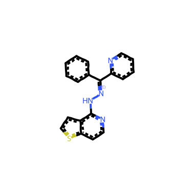 c1ccc(/C(=N\Nc2nccc3sccc23)c2ccccn2)cc1